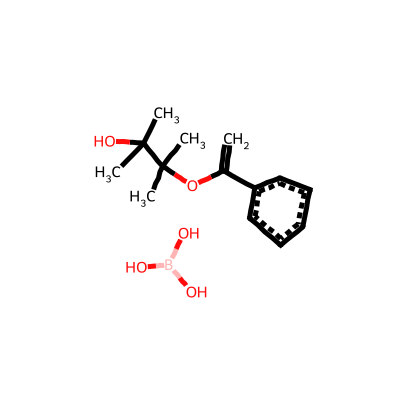 C=C(OC(C)(C)C(C)(C)O)c1ccccc1.OB(O)O